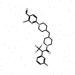 O=Cc1ccc(N2CCC(CC3CCN(C(=O)C(c4cccc(F)c4)C(F)(F)F)CC3)CC2)nc1Cl